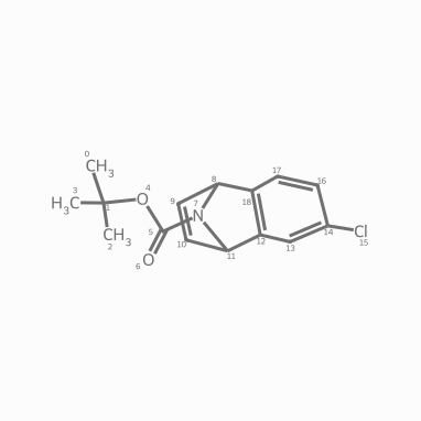 CC(C)(C)OC(=O)N1C2C=CC1c1cc(Cl)ccc12